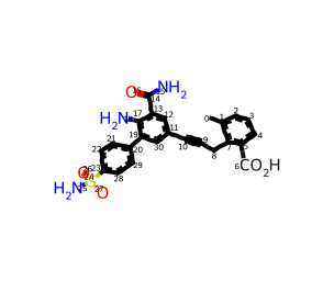 Cc1cccc(C(=O)O)c1CC#Cc1cc(C(N)=O)c(N)c(-c2ccc(S(N)(=O)=O)cc2)c1